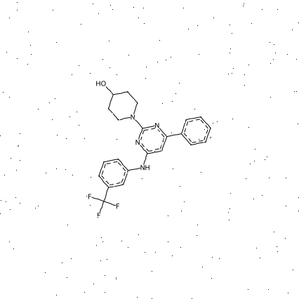 OC1CCN(c2nc(Nc3cccc(C(F)(F)F)c3)cc(-c3ccccc3)n2)CC1